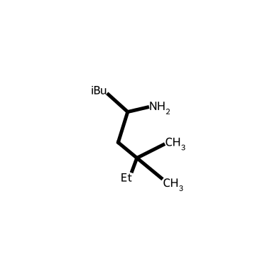 CCC(C)C(N)CC(C)(C)CC